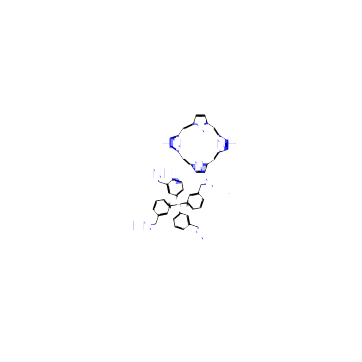 C1=Cc2cc3ccc(cc4nc(cc5ccc(cc1n2)[nH]5)C=C4)[nH]3.NCc1ccc[c]([Co]([c]2cccc(CN)c2)([c]2cccc(CN)c2)[c]2cccc(CN)c2)c1